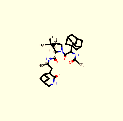 CC1(C)[C@@H]2[C@@H](C(=O)N[C@H](C#N)CC3C(=O)NCC4CC3C4)N(C(=O)C(NC(=O)C(F)(F)F)C34CC5CC(CC(C5)C3)C4)C[C@@H]21